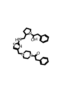 O=C(Cc1ccccc1)N1CCN(Cc2csc(NCC3CCCN3C(O)Cc3ccccc3)n2)CC1